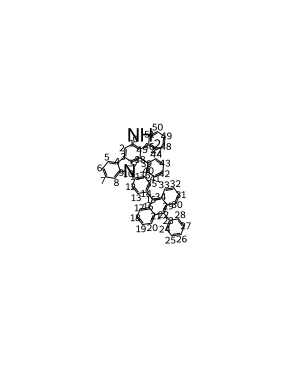 Nc1cc2c3ccccc3n(-c3ccc(-c4c5ccccc5c(-c5ccccc5)c5ccccc45)cc3)c2c(-c2ccccc2)c1-c1ccccc1